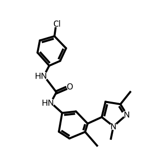 Cc1cc(-c2cc(NC(=O)Nc3ccc(Cl)cc3)ccc2C)n(C)n1